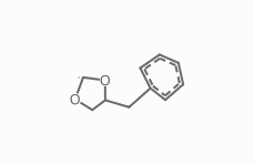 [CH]1OCC(Cc2ccccc2)O1